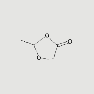 CC1OCC(=O)O1